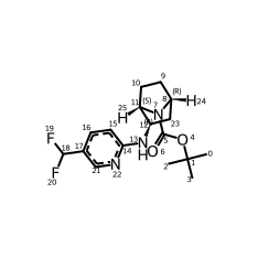 CC(C)(C)OC(=O)N1[C@@H]2CC[C@H]1[C@H](Nc1ccc(C(F)F)cn1)C2